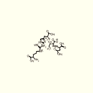 CCC(C)C(N)C(=O)O.N=C(N)NCCCC(N)C(=O)O.NC(CC(=O)O)C(=O)O.NC(Cc1c[nH]cn1)C(=O)O